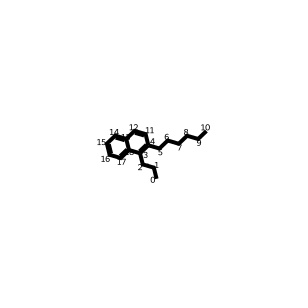 CC[CH]c1c(CCCCCC)ccc2ccccc12